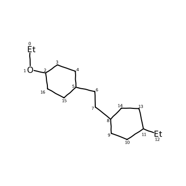 CCOC1CCC(CCC2CCC(CC)CC2)CC1